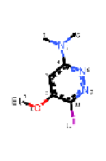 CCOc1cc(N(C)C)nnc1I